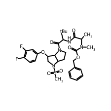 CC(C(=O)NC(C(=O)N1CCC2C1C(Oc1ccc(F)c(F)c1)CN2S(C)(=O)=O)C(C)(C)C)N(C)C(=O)OCc1ccccc1